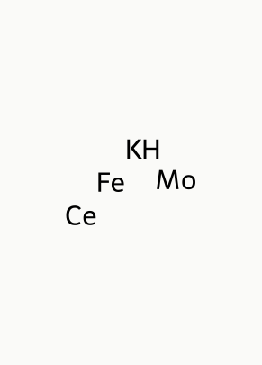 [Ce].[Fe].[KH].[Mo]